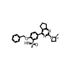 C[C@H]1CCN1c1nc2c(c(-c3ccc(OCc4ccccc4)c(S(C)(=N)=O)c3)n1)CCC2